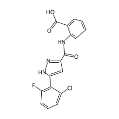 O=C(Nc1ccccc1C(=O)O)c1cc(-c2c(F)cccc2Cl)[nH]n1